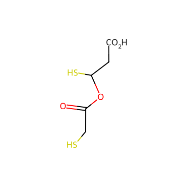 O=C(O)CC(S)OC(=O)CS